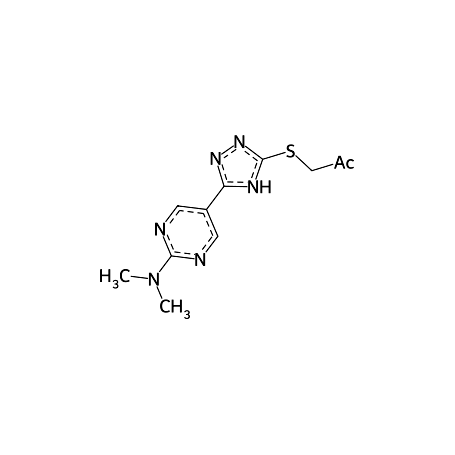 CC(=O)CSc1nnc(-c2cnc(N(C)C)nc2)[nH]1